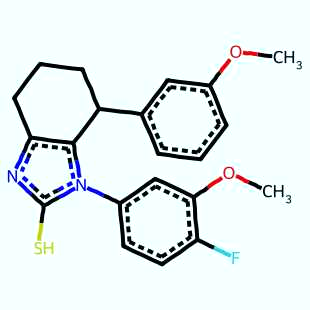 COc1cccc(C2CCCc3nc(S)n(-c4ccc(F)c(OC)c4)c32)c1